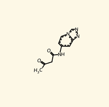 CC(=O)CC(=O)Nc1ccn2cnnc2c1